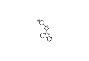 O=C(C1C=C(C2CCNCC2)SC1)N1CCCCC1c1ccccc1